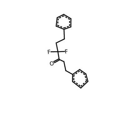 O=C(CCc1ccccc1)C(F)(F)CCc1ccccc1